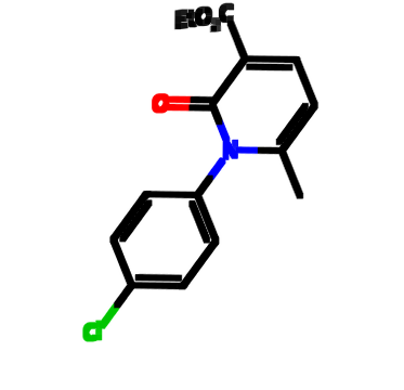 CCOC(=O)c1ccc(C)n(-c2ccc(Cl)cc2)c1=O